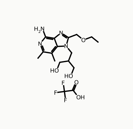 CCOCc1nc2c(N)nc(C)c(C)c2n1CC(CO)CO.O=C(O)C(F)(F)F